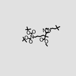 CCOC(=O)C(C)(CCCCN(C(=O)OC(C)(C)C)C(=O)OC(C)(C)C)c1cn(CCC(C)(C)C)cn1